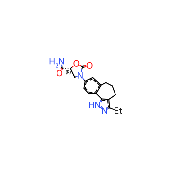 CCc1n[nH]c2c1CCCc1cc(N3C[C@H](C(N)=O)OC3=O)ccc1-2